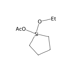 CCO[Si]1(OC(C)=O)CCCC1